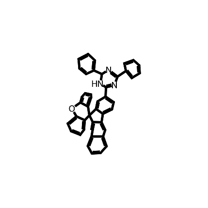 c1ccc(C2=NC(c3ccccc3)NC(c3ccc4c(c3)C3(c5ccccc5Oc5ccccc53)c3cc5ccccc5cc3-4)=N2)cc1